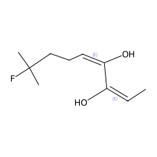 C/C=C(O)\C(O)=C/CCC(C)(C)F